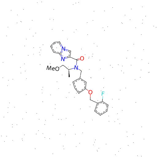 COC[C@H](C)N(Cc1cccc(OCc2ccccc2F)c1)C(=O)c1cn2ccccc2n1